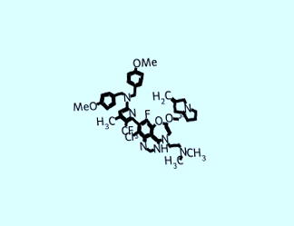 C=C1CN2CCC[C@@]2(COC2=CN(CCN(C)C)C3=c4c(c(F)c(-c5nc(N(Cc6ccc(OC)cc6)Cc6ccc(OC)cc6)cc(C)c5C(F)(F)F)c(Cl)c4=NCN3)O2)C1